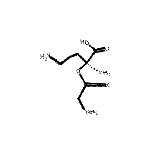 C[C@@](CCN)(OC(=O)CN)C(=O)O